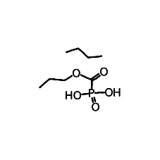 CCCC.CCCOC(=O)P(=O)(O)O